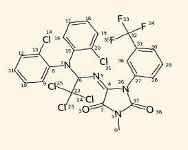 CN1C(=O)/C(=N\C(N(c2ccccc2Cl)c2ccccc2Cl)C(Cl)(Cl)Cl)N(c2cccc(C(F)(F)F)c2)C1=O